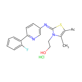 CC(=O)c1sc(=Nc2ccc(-c3ccccc3F)nc2)n(CCO)c1C.Cl